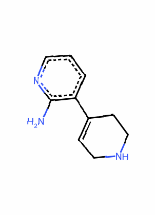 Nc1ncccc1C1=CCNCC1